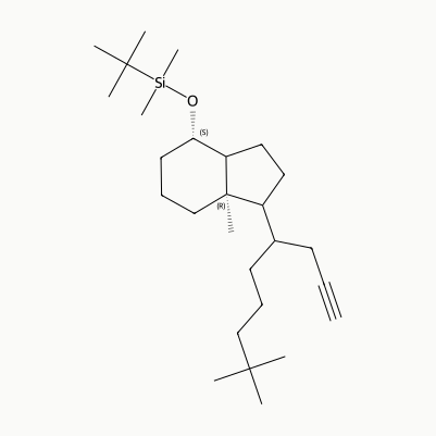 C#CCC(CCCC(C)(C)C)C1CCC2[C@@H](O[Si](C)(C)C(C)(C)C)CCC[C@]12C